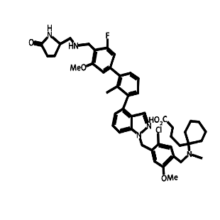 COc1cc(Cn2ncc3c(-c4cccc(-c5cc(F)c(CNCC6CCC(=O)N6)c(OC)c5)c4C)cccc32)c(Cl)cc1CN(C)C1(CCCC(=O)O)CCCCC1